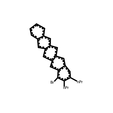 CCCc1cc2cc3cc4cc5ccccc5cc4cc3cc2c(Br)c1CCC